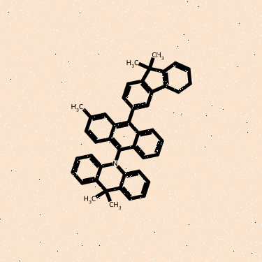 Cc1ccc2c(N3c4ccccc4C(C)(C)c4ccccc43)c3ccccc3c(-c3ccc4c(c3)C3=C(C=CCC3)C4(C)C)c2c1